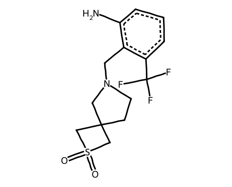 Nc1cccc(C(F)(F)F)c1CN1CCC2(C1)CS(=O)(=O)C2